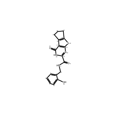 O=C(NCc1ccccc1O)c1nc2sc3c(c2c(=O)[nH]1)CCC3